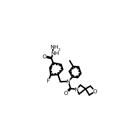 Cc1cccc(N(Cc2ccc(C(=O)NN)cc2F)C(=O)N2CC3(COC3)C2)c1